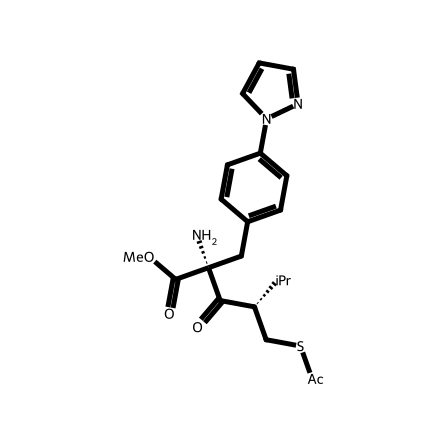 COC(=O)[C@@](N)(Cc1ccc(-n2cccn2)cc1)C(=O)[C@@H](CSC(C)=O)C(C)C